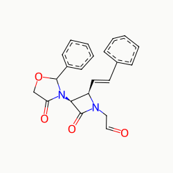 O=CCN1C(=O)[C@@H](N2C(=O)COC2c2ccccc2)[C@H]1/C=C/c1ccccc1